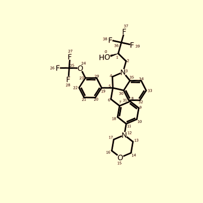 O[C@H](CN1CC(Cc2cccc(N3CCOCC3)c2)(c2cccc(OC(F)(F)F)c2)c2ccccc21)C(F)(F)F